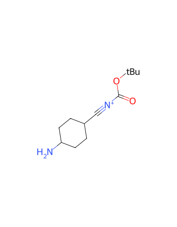 CC(C)(C)OC(=O)[N+]#CC1CCC(N)CC1